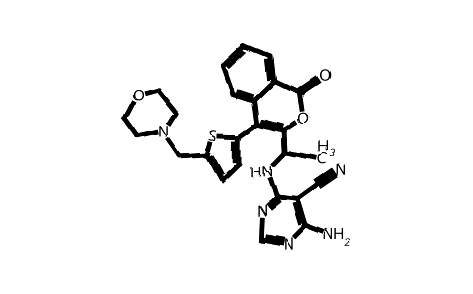 CC(Nc1ncnc(N)c1C#N)c1oc(=O)c2ccccc2c1-c1ccc(CN2CCOCC2)s1